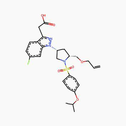 C=CCOC[C@H]1C[C@@H](n2nc(CC(=O)O)c3ccc(F)cc32)CN1S(=O)(=O)c1ccc(OC(C)C)cc1